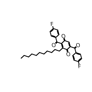 CCCCCCCCCCCC1=C(C(=O)c2ccc(F)cc2)C(=O)C=C(C(=O)c2ccc(F)cc2)C1=O